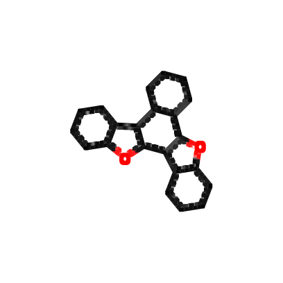 c1ccc2c(c1)oc1c2c2ccccc2c2oc3ccccc3c21